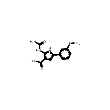 CSc1cccc(-c2cc(C(N)=O)c(NC(N)=O)[nH]2)c1